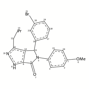 COc1ccc(N2C(=O)c3[nH]nc(CC(C)C)c3C2c2cccc(Br)c2)cc1